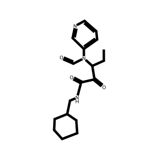 CCC(C(=O)C(=O)NCC1CCCCC1)N(C=O)c1cccnc1